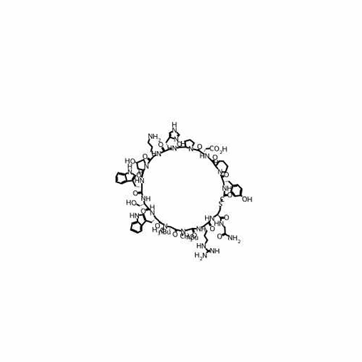 CCCC[C@H]1C(=O)N(C)[C@@H](CCCC)C(=O)N[C@@H](CCCNC(=N)N)C(=O)N[C@H](C(=O)NCC(N)=O)CSCC(=O)N[C@@H](Cc2ccc(O)cc2)C(=O)N2CCCC[C@H]2C(=O)N[C@@H](CC(=O)O)C(=O)N2CCC[C@H]2C(=O)N[C@@H](Cc2c[nH]cn2)C(=O)N[C@@H](CCCN)C(=O)N2C[C@H](O)C[C@H]2C(=O)N[C@@H](Cc2c[nH]c3ccccc23)C(=O)N[C@@H](CO)C(=O)N[C@@H](Cc2c[nH]c3ccccc23)C(=O)N1C